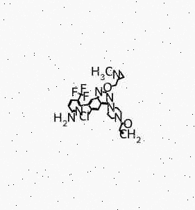 C=CC(=O)N1CCN(c2nc(OCC3CCN3C)nc3cc(-c4nc(N)ccc4C(F)(F)F)c(Cl)cc23)CC1